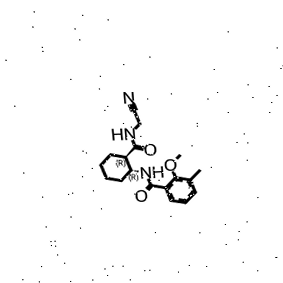 COc1c(C)cccc1C(=O)N[C@@H]1CCCC[C@H]1C(=O)NCC#N